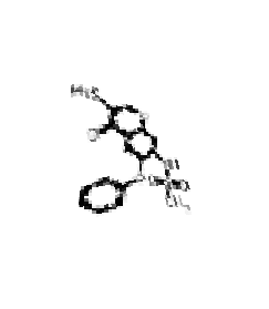 CSc1coc2cc(NS(C)(=O)=O)c(Oc3ccccc3)cc2c1=O